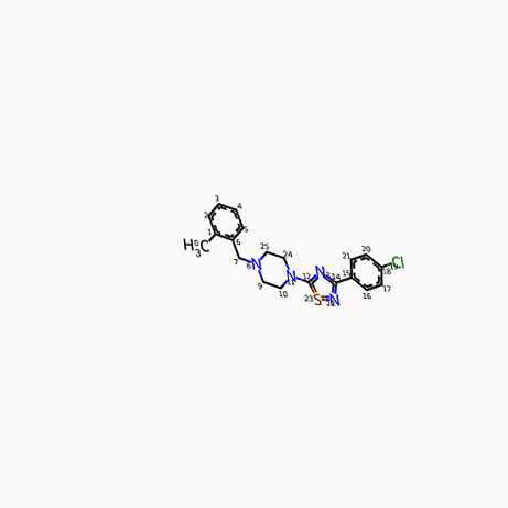 Cc1ccccc1CN1CCN(c2nc(-c3ccc(Cl)cc3)ns2)CC1